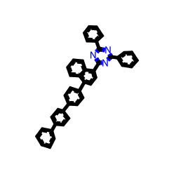 c1ccc(-c2ccc(-c3ccc(-c4ccc(-c5nc(-c6ccccc6)nc(-c6ccccc6)n5)c5ccccc45)cc3)cc2)cc1